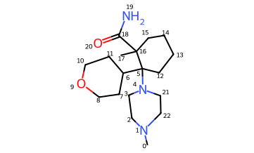 CN1CCN(C2(C3CCOCC3)CCCCC2(C)C(N)=O)CC1